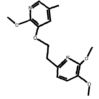 COc1ccc(CCOc2cc(C)cnc2OC)nc1OC